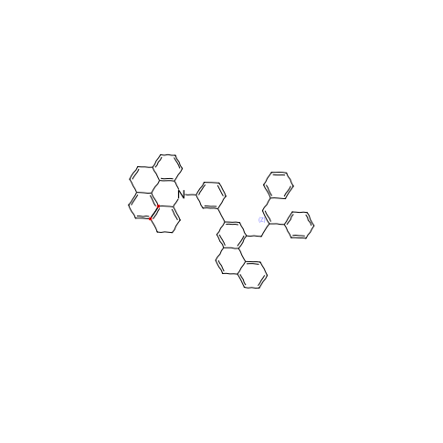 C1=CC(N(c2cccc(-c3cc(C/C(=C/c4ccccc4)c4ccccc4)c4c(ccc5ccccc54)c3)c2)c2cccc3ccc4ccccc4c23)=CCC1